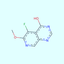 COc1ncc2ncnc(O)c2c1F